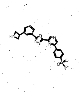 CC(C)S(=O)(=O)c1ccc(-c2cncc(-c3nnc(-c4cccc(C5CNC5)c4)o3)n2)cc1